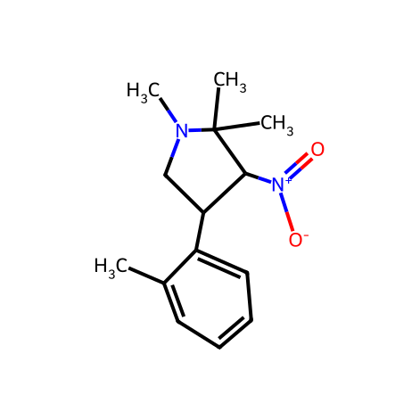 Cc1ccccc1C1CN(C)C(C)(C)C1[N+](=O)[O-]